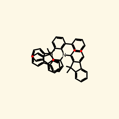 CC1(C)c2ccccc2-c2cccc(N(c3cccc4c3C(C)(C)c3ccccc3-4)c3c(-c4ccccc4)cccc3-n3c4ccccc4c4ccccc43)c21